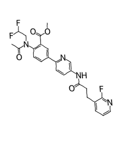 COC(=O)c1cc(-c2ccc(NC(=O)CCc3cccnc3F)cn2)ccc1N(CC(F)F)C(C)=O